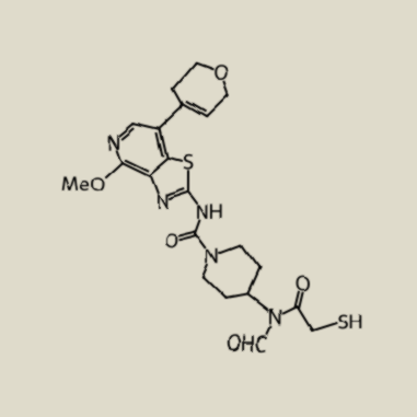 COc1ncc(C2=CCOCC2)c2sc(NC(=O)N3CCC(N(C=O)C(=O)CS)CC3)nc12